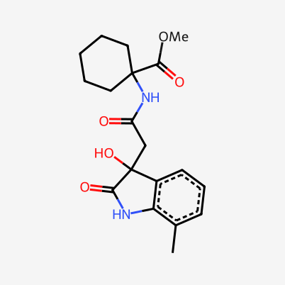 COC(=O)C1(NC(=O)CC2(O)C(=O)Nc3c(C)cccc32)CCCCC1